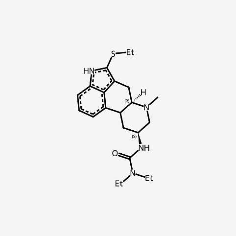 CCSc1[nH]c2cccc3c2c1C[C@@H]1C3C[C@H](NC(=O)N(CC)CC)CN1C